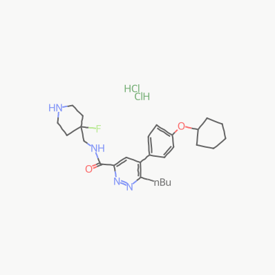 CCCCc1nnc(C(=O)NCC2(F)CCNCC2)cc1-c1ccc(OC2CCCCC2)cc1.Cl.Cl